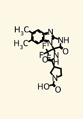 Cc1cc2nc3n(c2cc1C)C(NC(=O)C1CCN(C(=O)O)C1)(C(F)(F)F)C(=O)N3